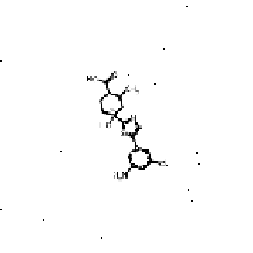 CC1C[C@](O)(c2ncc(-c3cc(N)cc(Cl)c3)s2)CCC1C(=O)O